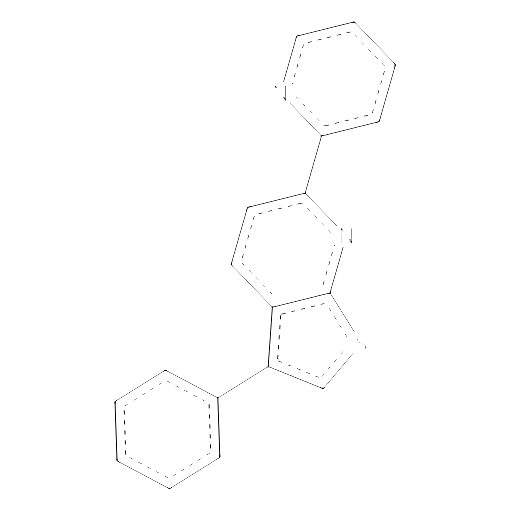 c1ccc(-c2csc3nc(-c4ccccn4)ccc23)cc1